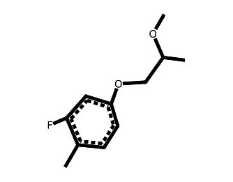 COC(C)COc1ccc(C)c(F)c1